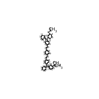 CCCc1cccc(N(c2ccccc2)c2ccc(C=Cc3ccc(C=Cc4ccc(N(c5ccccc5)c5cccc(C(C)C)c5)cc4)cc3)cc2)c1